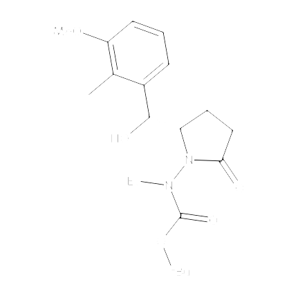 CCN(C(=O)OC(C)(C)C)N1C(=O)CC[C@H]1C(O)c1cccc(OC)c1C